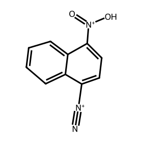 N#[N+]c1ccc([N+](=O)O)c2ccccc12